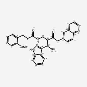 COc1ccccc1CCC(=O)NCC(C(=O)Cc1ccc2ncccc2c1)C(N)c1c[nH]c2ccccc12